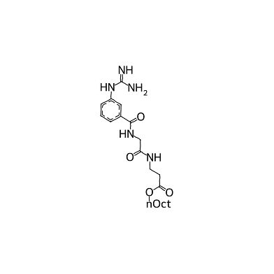 CCCCCCCCOC(=O)CCNC(=O)CNC(=O)c1cccc(NC(=N)N)c1